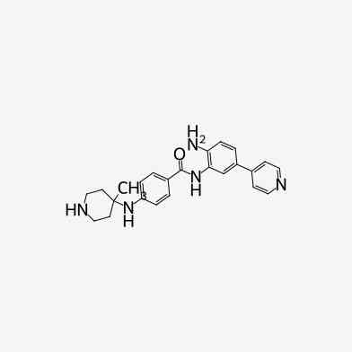 CC1(Nc2ccc(C(=O)Nc3cc(-c4ccncc4)ccc3N)cc2)CCNCC1